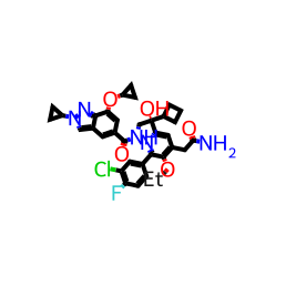 CCOc1c(CC(N)=O)cc([C@@](O)(CNC(=O)c2cc(OC3CC3)c3nn(C4CC4)cc3c2)C2CCC2)nc1-c1ccc(F)c(Cl)c1